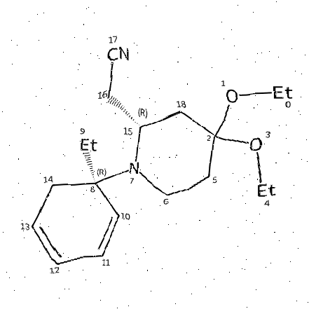 CCOC1(OCC)CCN([C@@]2(CC)C=CC=CC2)[C@H](CC#N)C1